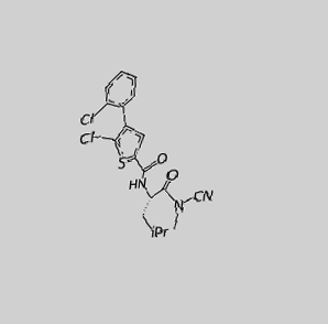 CC(C)C[C@H](NC(=O)c1cc(-c2ccccc2Cl)c(Cl)s1)C(=O)N(C)C#N